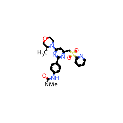 CNC(=O)Nc1ccc(-c2nc(CS(=O)(=O)c3ccccn3)cc(N3CCOC[C@@H]3C)n2)cc1